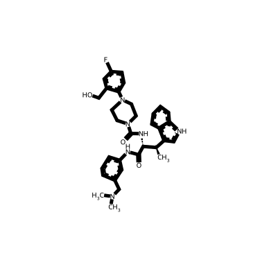 C[C@H](c1c[nH]c2ccccc12)[C@@H](NC(=O)N1CCN(c2ccc(F)cc2CO)CC1)C(=O)Nc1cccc(CN(C)C)c1